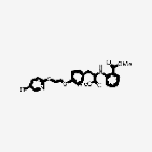 COC(=O)c1ccccc1NC(Cc1ccc(OCCSc2ccc(Cl)cn2)cc1)C(=O)OC